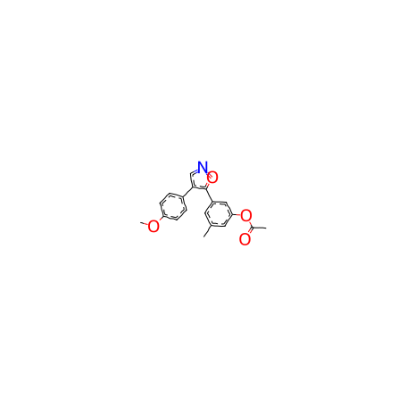 COc1ccc(-c2cnoc2-c2cc(C)cc(OC(C)=O)c2)cc1